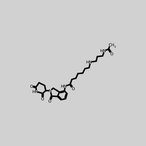 CC(=O)NCCCNCCCCCCC(=O)Nc1cccc2c1CN(C1CCC(=O)NC1=O)C2=O